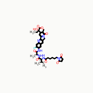 CC[C@@]1(O)C(=O)OCc2c1cc1n(c2=O)Cc2cc3cc(NC(=O)[C@H](C)NC(=O)[C@@H](NC(=O)CCCCCN4C(=O)C=CC4=O)C(C)C)c(F)cc3nc2-1